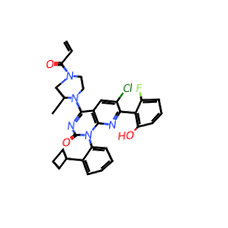 C=CC(=O)N1CCN(c2nc(=O)n(-c3ccccc3C3CCC3)c3nc(-c4c(O)cccc4F)c(Cl)cc23)C(C)C1